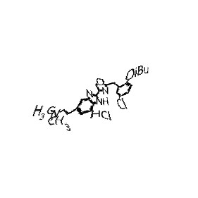 CC(C)COc1ccc(Cl)cc1Cc1nc(-c2nc3cc(CCN(C)C)ccc3[nH]2)co1.Cl